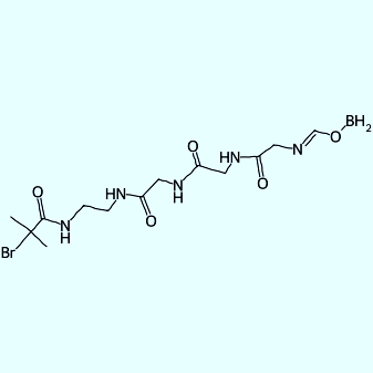 BOC=NCC(=O)NCC(=O)NCC(=O)NCCNC(=O)C(C)(C)Br